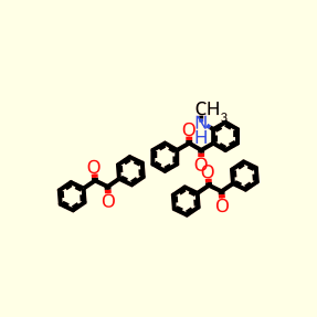 CNc1ccccc1C(=O)C(=O)c1ccccc1.O=C(C(=O)c1ccccc1)c1ccccc1.O=C(C(=O)c1ccccc1)c1ccccc1